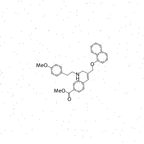 COC(=O)c1ccc(C=C(CNCCc2ccc(OC)cc2)COc2cccc3ccccc23)cc1